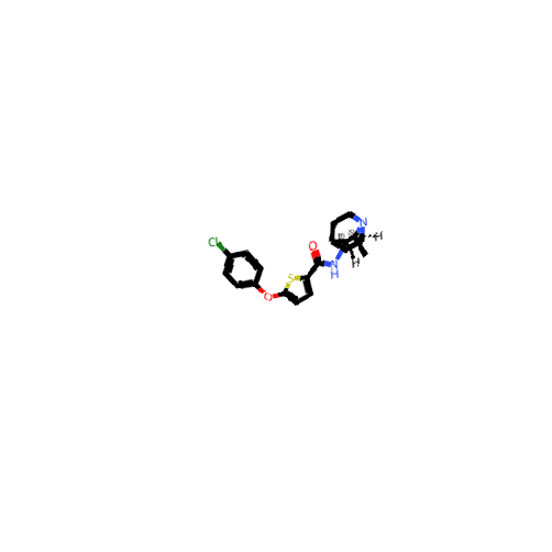 C[C@H]1[C@H](NC(=O)c2ccc(Oc3ccc(Cl)cc3)s2)C2CCN1CC2